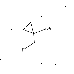 CCCC1(CF)CC1